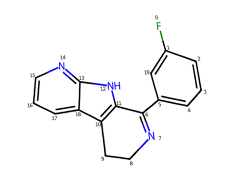 Fc1cccc(C2=NCCc3c2[nH]c2ncccc32)c1